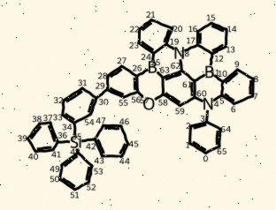 c1ccc(N2c3ccccc3B3c4ccccc4N4c5ccccc5B5c6ccc(-c7cccc([Si](c8ccccc8)(c8ccccc8)c8ccccc8)c7)cc6Oc6cc2c3c4c65)cc1